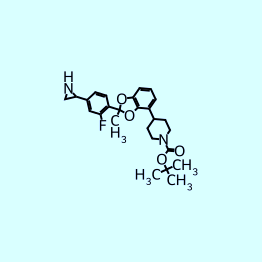 CC(C)(C)OC(=O)N1CCC(c2cccc3c2OC(C)(c2ccc(C4CN4)cc2F)O3)CC1